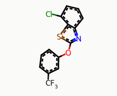 FC(F)(F)c1cccc(Oc2nc3cccc(Cl)c3s2)c1